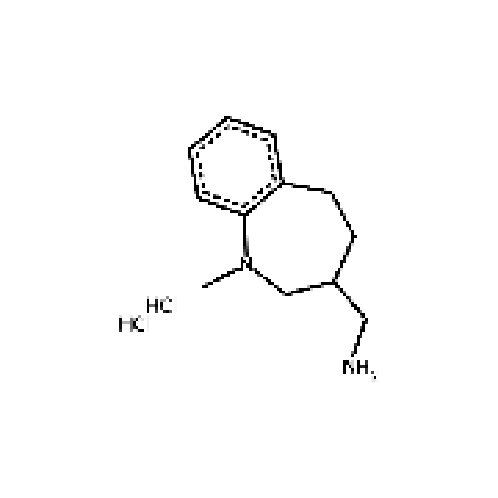 CN1CC(CN)CCc2ccccc21.Cl.Cl